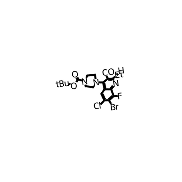 CCc1nc2c(F)c(Br)c(Cl)cc2c(N2CCN(C(=O)OC(C)(C)C)CC2)c1C(=O)O